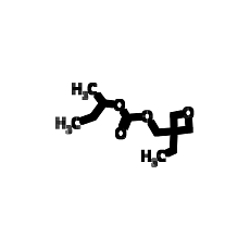 CCC(C)OC(=O)OCC1(CC)COC1